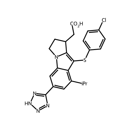 CC(C)c1cc(-c2nn[nH]n2)cc2c1c(Sc1ccc(Cl)cc1)c1n2CCC1CC(=O)O